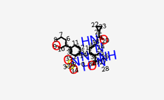 CN(c1cc(C2CCCOC2)ccc1Nc1cc(NC(=O)C2CC2)nc2[nH]n(C)c(=O)c12)S(C)(=O)=O